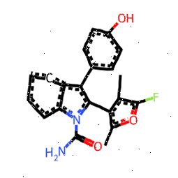 Cc1oc(F)c(C)c1-c1c(-c2ccc(O)cc2)c2ccccc2n1C(N)=O